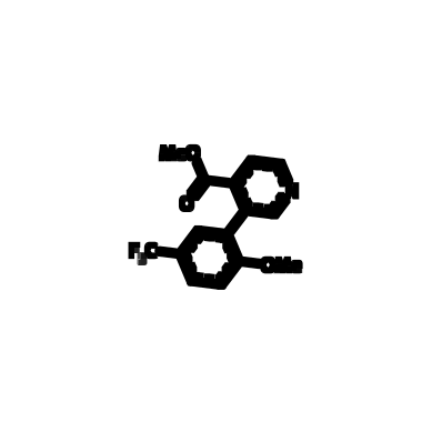 COC(=O)c1ccncc1-c1cc(C(F)(F)F)ccc1OC